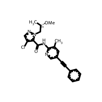 CO[C@@H](C)Cn1ncc(Cl)c1C(=O)Nc1ncc(C#Cc2ccccc2)cc1C